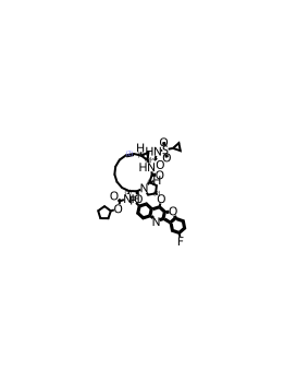 O=C(N[C@H]1CCCCC/C=C\[C@@H]2C[C@@]2(C(=O)NS(=O)(=O)C2CC2)NC(=O)[C@@H]2C[C@@H](Oc3c4cc(F)ccc4nc4c3oc3ccc(F)cc34)CN2C1=O)OC1CCCC1